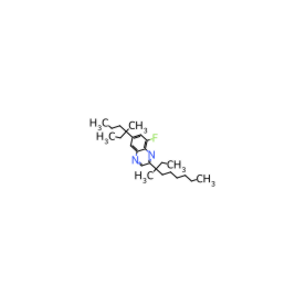 CCCCCCC(C)(CC)c1cnc2cc(C(C)(CC)CCC)cc(F)c2n1